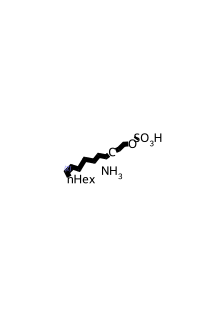 CCCCCC/C=C\CCCCCCCCOS(=O)(=O)O.N